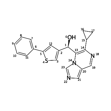 O[C@H](c1csc(-c2ccccc2)c1)c1c(C2CC2)ncc2cncn12